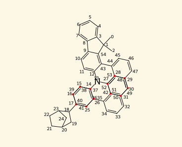 CC1(C)c2ccccc2-c2ccc(N(c3ccc(C4CC5CCC4C5)cc3)c3cccc4cccc(C5CCCCC5)c34)c(-c3cccc4ccccc34)c21